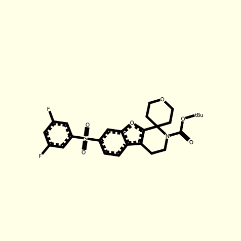 CC(C)(C)OC(=O)N1CCc2c(oc3cc(S(=O)(=O)c4cc(F)cc(F)c4)ccc23)C12CCOCC2